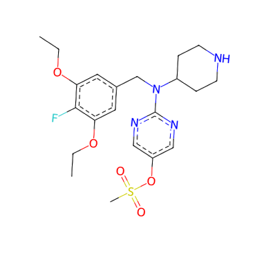 CCOc1cc(CN(c2ncc(OS(C)(=O)=O)cn2)C2CCNCC2)cc(OCC)c1F